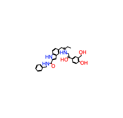 CC[C@H](Cc1ccc2[nH]c(C(=O)NCc3ccccc3)cc2c1)NC[C@H](O)c1ccc(O)c(CO)c1